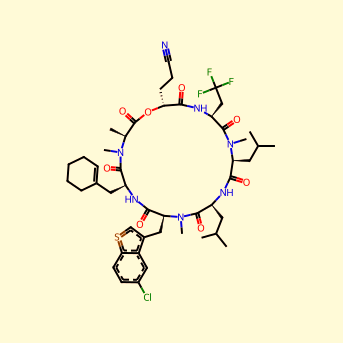 CC(C)C[C@@H]1NC(=O)[C@H](CC(C)C)N(C)C(=O)[C@H](CC(F)(F)F)NC(=O)[C@@H](CCC#N)OC(=O)[C@H](C)N(C)C(=O)[C@H](CC2=CCCCC2)NC(=O)[C@H](Cc2csc3ccc(Cl)cc23)N(C)C1=O